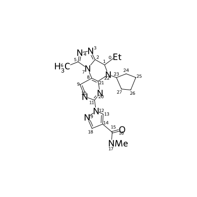 CCC1c2nnc(C)n2-c2cnc(-n3cc(C(=O)NC)cn3)nc2N1C1CCCC1